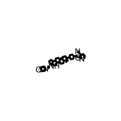 CC1(C)C(C2=CCC(COc3ncccc3C#N)CC2)=CCC2(C)C3CCC4C(CCC5(NCCN6CC[S+]([O-])CC6)CCCC45)C3CCC12